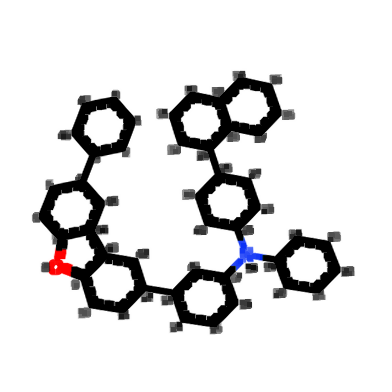 c1ccc(-c2ccc3oc4ccc(-c5cccc(N(c6ccccc6)c6ccc(-c7cccc8ccccc78)cc6)c5)cc4c3c2)cc1